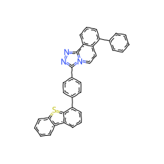 c1ccc(-c2cccc3c2ccn2c(-c4ccc(-c5cccc6c5sc5ccccc56)cc4)nnc32)cc1